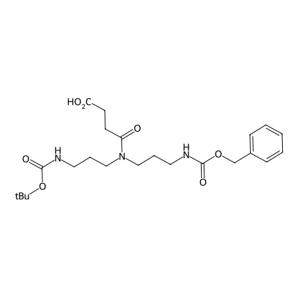 CC(C)(C)OC(=O)NCCCN(CCCNC(=O)OCc1ccccc1)C(=O)CCC(=O)O